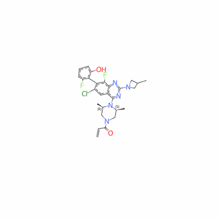 C=CC(=O)N1C[C@@H](C)N(c2nc(N3CC(C)C3)nc3c(F)c(-c4c(O)cccc4F)c(Cl)cc23)[C@@H](C)C1